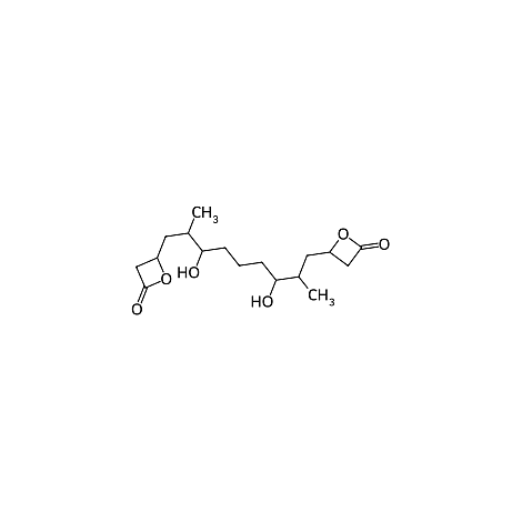 CC(CC1CC(=O)O1)C(O)CCCC(O)C(C)CC1CC(=O)O1